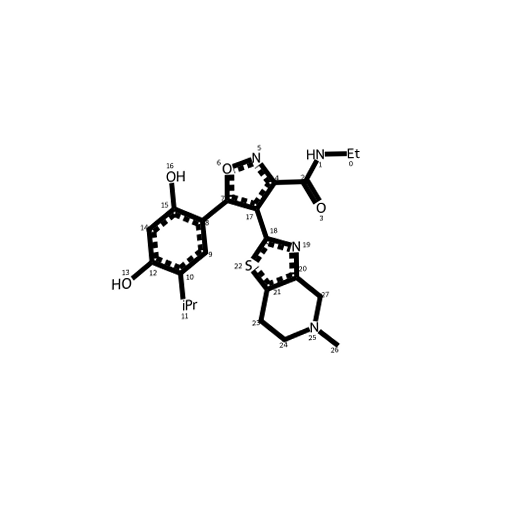 CCNC(=O)c1noc(-c2cc(C(C)C)c(O)cc2O)c1-c1nc2c(s1)CCN(C)C2